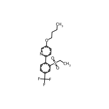 CCCCOc1ccc(-c2ccc(C(F)(F)F)cc2S(=O)(=O)CC)nc1